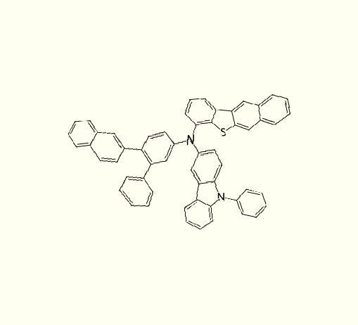 c1ccc(-c2cc(N(c3ccc4c(c3)c3ccccc3n4-c3ccccc3)c3cccc4c3sc3cc5ccccc5cc34)ccc2-c2ccc3ccccc3c2)cc1